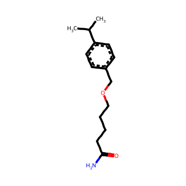 CC(C)c1ccc(COCCCCC(N)=O)cc1